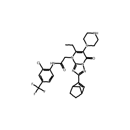 CCc1c(N2CCNCC2)c(=O)n2nc(C3=CC4CCC3C4)nc2n1CC(=O)Nc1ccc(C(F)(F)F)cc1Cl